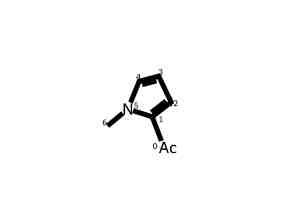 CC(=O)c1[c]ccn1C